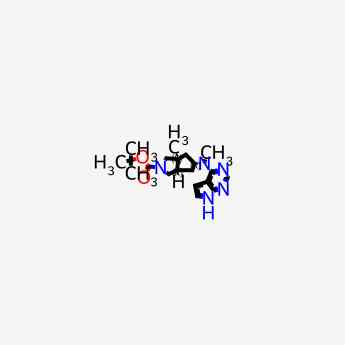 CN(c1ncnc2[nH]ccc12)[C@@H]1C[C@H]2CN(C(=O)OC(C)(C)C)C[C@@]2(C)C1